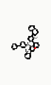 c1ccc(-c2ccc(N(c3ccc4c(oc5ccc6ccccc6c54)c3-c3ccccc3)c3cccc4c3oc3ccccc34)cc2)cc1